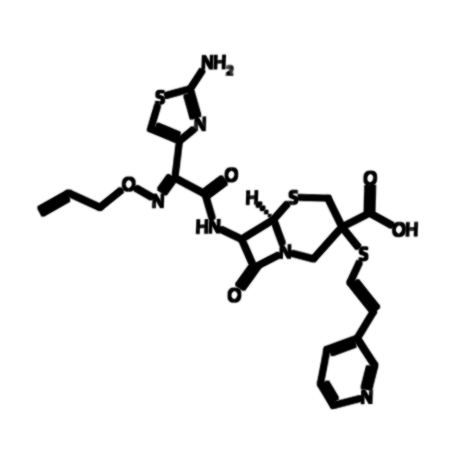 C=CCON=C(C(=O)NC1C(=O)N2CC(SC=Cc3cccnc3)(C(=O)O)CS[C@H]12)c1csc(N)n1